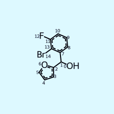 OC(c1ccco1)c1cccc(F)c1Br